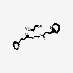 O=C(CCc1ccccn1)OCCOC(=O)CCc1ccccn1.OCCO